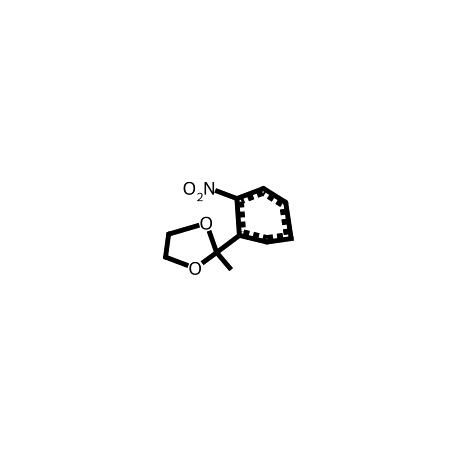 CC1(c2ccccc2[N+](=O)[O-])OCCO1